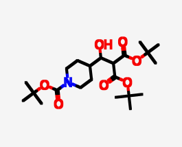 CC(C)(C)OC(=O)C(C(=O)OC(C)(C)C)C(O)C1CCN(C(=O)OC(C)(C)C)CC1